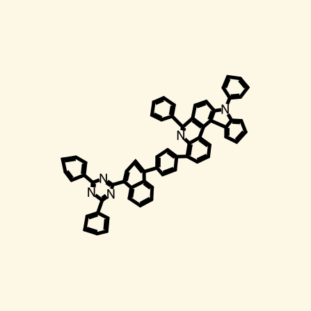 c1ccc(-c2nc(-c3ccccc3)nc(-c3ccc(-c4ccc(-c5cccc6c5nc(-c5ccccc5)c5ccc7c(c8ccccc8n7-c7ccccc7)c56)cc4)c4ccccc34)n2)cc1